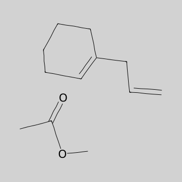 C=CCC1=CCCCC1.COC(C)=O